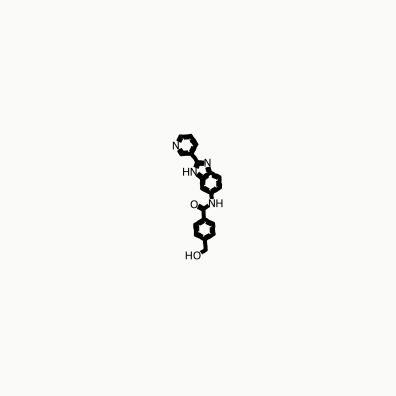 O=C(Nc1ccc2nc(-c3cccnc3)[nH]c2c1)c1ccc(CO)cc1